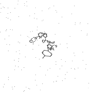 CC1CCC(n2cc(NC(=O)c3cnn4ccc(N5C[C@@H](C)O[C@H](C)C5)nc34)c(C(F)F)n2)CC1